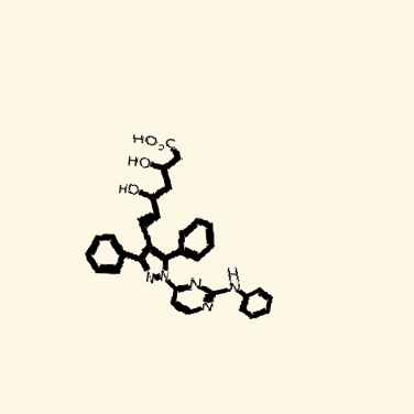 O=C(O)CC(O)CC(O)C=Cc1c(-c2ccccc2)nn(-c2ccnc(Nc3ccccc3)n2)c1-c1ccccc1